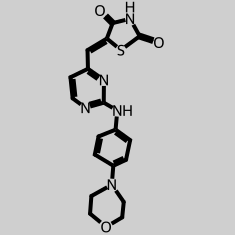 O=C1NC(=O)C(=Cc2ccnc(Nc3ccc(N4CCOCC4)cc3)n2)S1